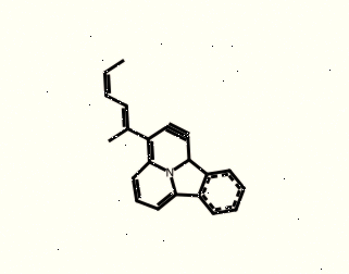 C/C=C\C=C(/C)C1=C2C=CC=C3c4ccccc4C(C#C1)N32